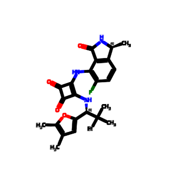 CCC(C)(C)[C@@H](Nc1c(Nc2c(F)ccc3c2C(=O)N[C@H]3C)c(=O)c1=O)c1cc(C)c(C)o1